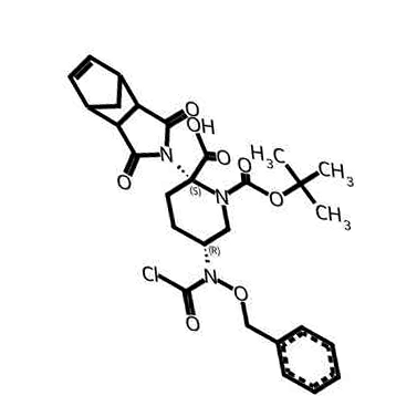 CC(C)(C)OC(=O)N1C[C@H](N(OCc2ccccc2)C(=O)Cl)CC[C@]1(C(=O)O)N1C(=O)C2C3C=CC(C3)C2C1=O